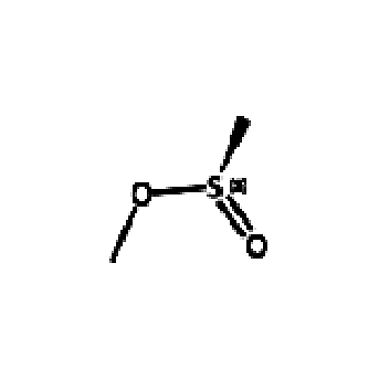 CO[S@@](C)=O